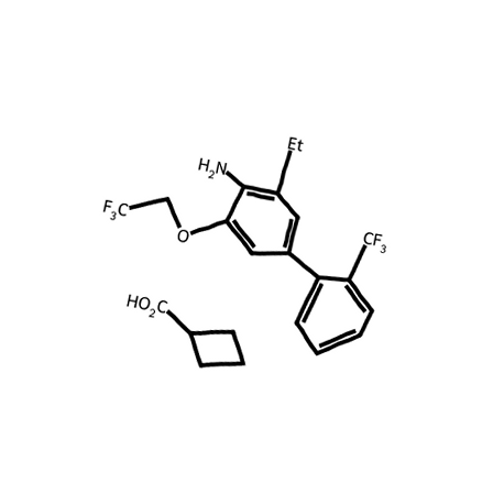 CCc1cc(-c2ccccc2C(F)(F)F)cc(OCC(F)(F)F)c1N.O=C(O)C1CCC1